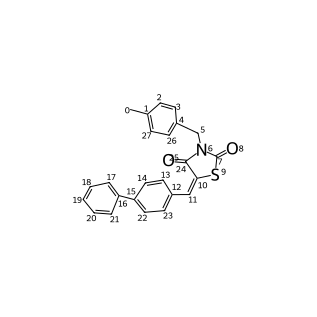 Cc1ccc(CN2C(=O)SC(=Cc3ccc(-c4ccccc4)cc3)C2=O)cc1